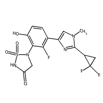 Cn1cc(-c2ccc(O)c(N3CC(=O)NS3(=O)=O)c2F)nc1C1CC1(F)F